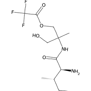 CC[C@H](C)[C@H](N)C(=O)NC(C)(CO)COC(=O)C(F)(F)F